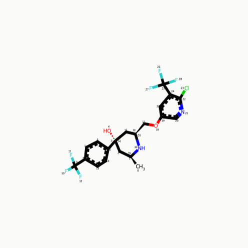 C[C@H]1C[C@@](O)(c2ccc(C(F)(F)F)cc2)C[C@@H](COc2cnc(Cl)c(C(F)(F)F)c2)N1